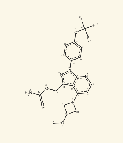 COC1CN(c2ccnc3c2c(COC(N)=O)nn3-c2ccc(OC(F)(F)F)cc2)C1